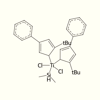 C[SiH](C)[Ti]([Cl])([Cl])([CH]1C=C(c2ccccc2)C=C1C(C)(C)C)[CH]1C=C(c2ccccc2)C=C1C(C)(C)C